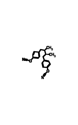 C[C@H](Cc1ccc(OC#N)cc1)[C@@H](C)Cc1ccc(OC#N)cc1